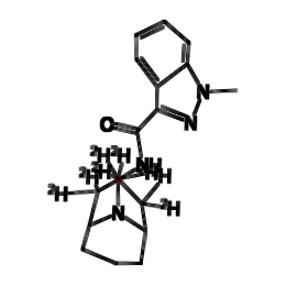 [2H]C([2H])([2H])N1C2CCCC1C([2H])([2H])C([2H])(NC(=O)c1nn(C)c3ccccc13)C2([2H])[2H]